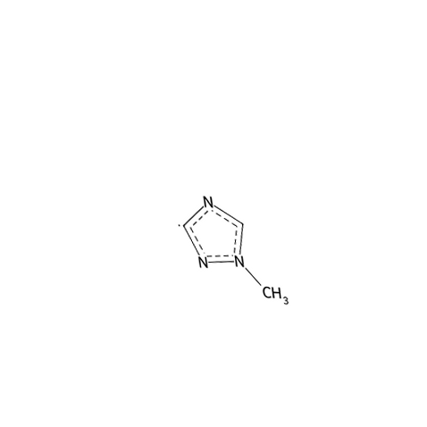 Cn1cn[c]n1